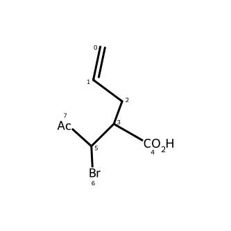 C=CCC(C(=O)O)C(Br)C(C)=O